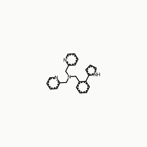 c1ccc(CN(Cc2ccccn2)Cc2ccccc2-c2ccc[nH]2)nc1